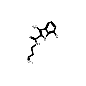 C=CCCNC(=O)c1[nH]c2c(Cl)cccc2c1C